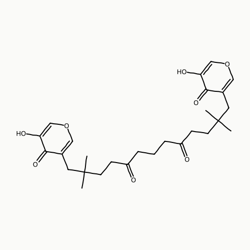 CC(C)(CCC(=O)CCCC(=O)CCC(C)(C)Cc1cocc(O)c1=O)Cc1cocc(O)c1=O